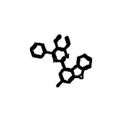 C=Cc1nc(-c2cc(C)cc3oc4ccccc4c23)nc(-c2ccccc2)c1C=C